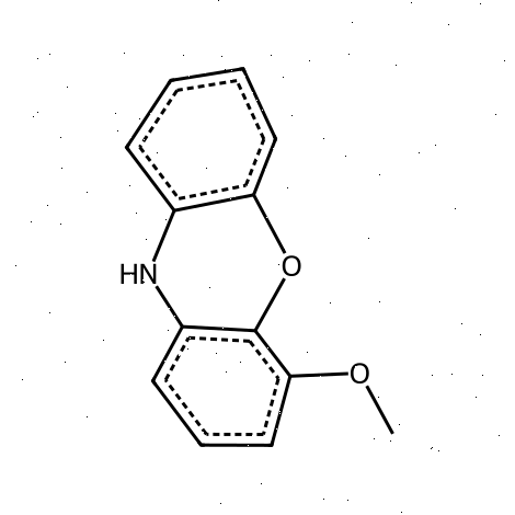 COc1cccc2c1Oc1ccccc1N2